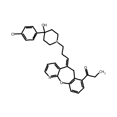 CCC(=O)c1cccc2c1C/C(=C/CCN1CCC(O)(c3ccc(Cl)cc3)CC1)c1cccnc1O2